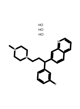 CN1CCN(CCC(c2cccc(F)c2)c2ccc3cccnc3c2)CC1.Cl.Cl.Cl